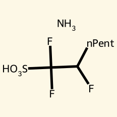 CCCCCC(F)C(F)(F)S(=O)(=O)O.N